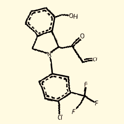 O=CC(=O)C1c2c(O)cccc2CN1c1ccc(Cl)c(C(F)(F)F)c1